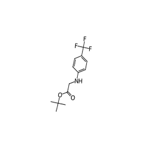 CC(C)(C)OC(=O)CNc1ccc(C(F)(F)F)cc1